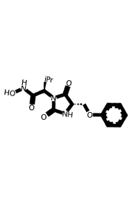 CC(C)[C@H](C(=O)NO)N1C(=O)N[C@@H](COc2ccccc2)C1=O